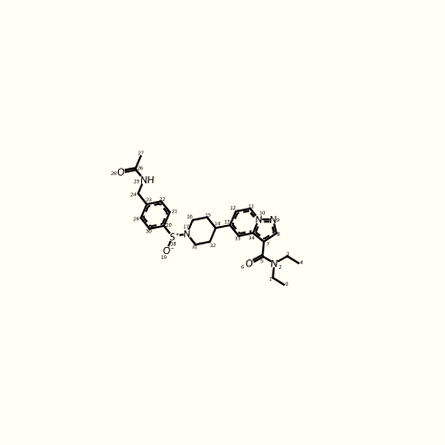 CCN(CC)C(=O)c1cnn2ccc(C3CCN([S+]([O-])c4ccc(CNC(C)=O)cc4)CC3)cc12